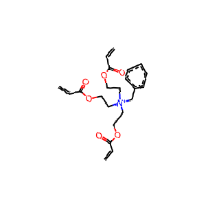 C=CC(=O)OCC[N+](CCOC(=O)C=C)(CCOC(=O)C=C)Cc1ccccc1